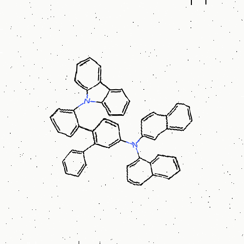 c1ccc(-c2cc(N(c3ccc4ccccc4c3)c3cccc4ccccc34)ccc2-c2ccccc2-n2c3ccccc3c3ccccc32)cc1